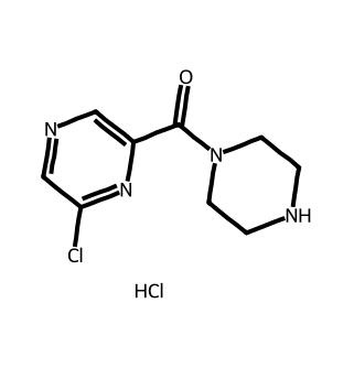 Cl.O=C(c1cncc(Cl)n1)N1CCNCC1